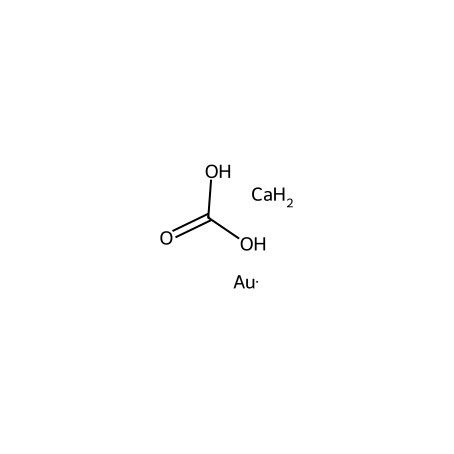 O=C(O)O.[Au].[CaH2]